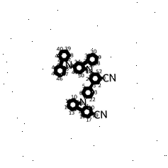 N#Cc1cc(-c2ccc(-n3c4ccccc4c4ccc(C#N)cc43)cc2)cc(-n2c3ccccc3c3cc(-n4c5ccccc5c5ccccc54)ccc32)c1